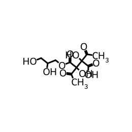 CC(=O)C(O)(C(=O)O)C(O)(C(C)=O)C(=O)OCC(O)CO